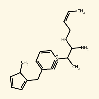 C/C=C\CNC(N)C(C)[SH]1#CC(CC2=CC=CC2C)=CC=C1